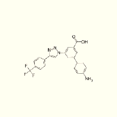 Nc1ccc(-c2cc(C(=O)O)cc(-n3cc(-c4ccc(C(F)(F)F)cc4)nn3)c2)cc1